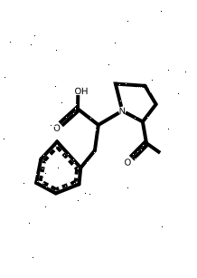 CC(=O)C1CCCN1C(Cc1ccccc1)C(=O)O